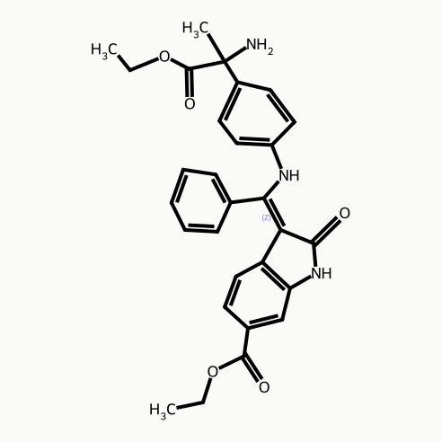 CCOC(=O)c1ccc2c(c1)NC(=O)/C2=C(\Nc1ccc(C(C)(N)C(=O)OCC)cc1)c1ccccc1